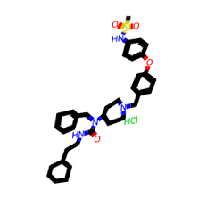 CS(=O)(=O)Nc1ccc(Oc2ccc(CN3CCC(N(Cc4ccccc4)C(=O)NCCC4CCCCC4)CC3)cc2)cc1.Cl